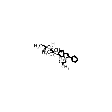 C=CC(=O)OC(C)(C)C(C)(C)Oc1ccc2cc(-c3ccccc3)n(CC(C)C)c2c1